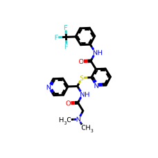 CN(C)CC(=O)NC(Sc1ncccc1C(=O)Nc1cccc(C(F)(F)F)c1)c1ccncc1